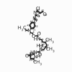 CCN(CCOC(=O)NCCC(C)CC(C)(C)CNC(=O)Nc1nc(=O)cc(C)[nH]1)c1ccc(/N=N/c2nc(Cl)c(C=O)s2)cc1